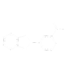 O=[N+]([O-])c1cccc(B2Oc3ccccc3O2)c1